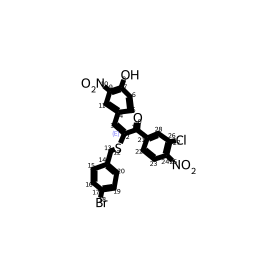 O=C(/C(=C\c1ccc(O)c([N+](=O)[O-])c1)SCc1ccc(Br)cc1)c1ccc([N+](=O)[O-])c(Cl)c1